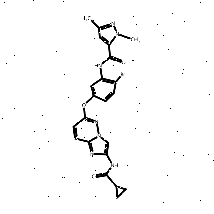 Cc1cc(C(=O)Nc2cc(Oc3ccc4nc(NC(=O)C5CC5)cn4n3)ccc2Br)n(C)n1